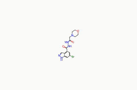 O=C(CN1CCOCC1)NNC(=O)c1cc(Br)cc2[nH]ncc12